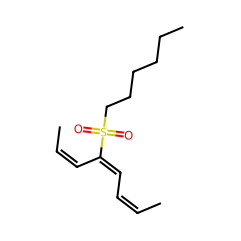 C\C=C/C=C(\C=C/C)S(=O)(=O)CCCCCC